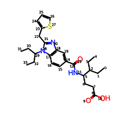 CCC(CC)C(CCC(=O)O)NC(=O)c1ccc2c(c1)nc(Cc1cccs1)n2C(CC)CC